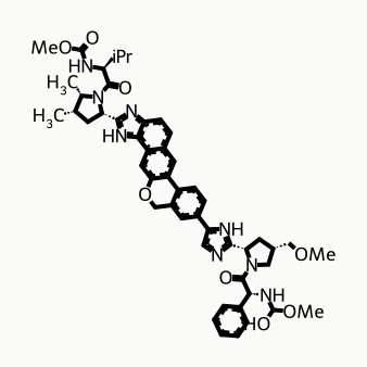 COC[C@H]1C[C@@H](c2ncc(-c3ccc4c(c3)COc3cc5c(ccc6nc([C@@H]7C[C@H](C)[C@H](C)N7C(=O)[C@@H](NC(=O)OC)C(C)C)[nH]c65)cc3-4)[nH]2)N(C(=O)[C@H](NC(O)OC)c2ccccc2)C1